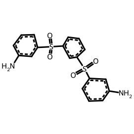 Nc1cccc(S(=O)(=O)c2cccc(S(=O)(=O)c3cccc(N)c3)c2)c1